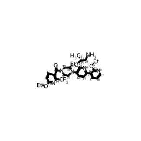 CCOc1ccc(C(=O)N2CCN(c3ccc(-c4cccnc4OCC)nc3O[C@H](C)CN)[C@H](CC)C2)c(C(F)(F)F)n1